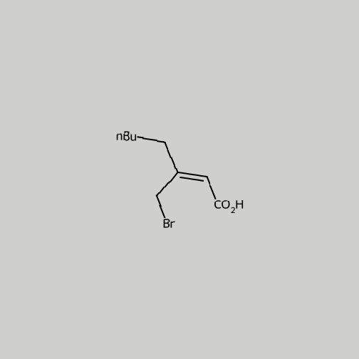 CCCCCC(=CC(=O)O)CBr